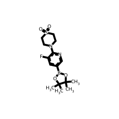 CC1(C)OB(c2cnc(N3CCS(=O)(=O)CC3)c(F)c2)OC1(C)C